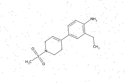 CCc1cc(C2=CCN(S(C)(=O)=O)CC2)ccc1N